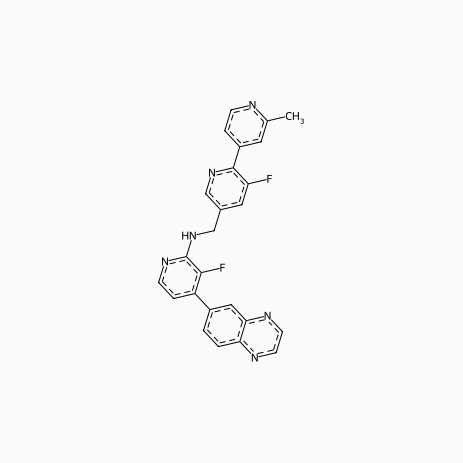 Cc1cc(-c2ncc(CNc3nccc(-c4ccc5nccnc5c4)c3F)cc2F)ccn1